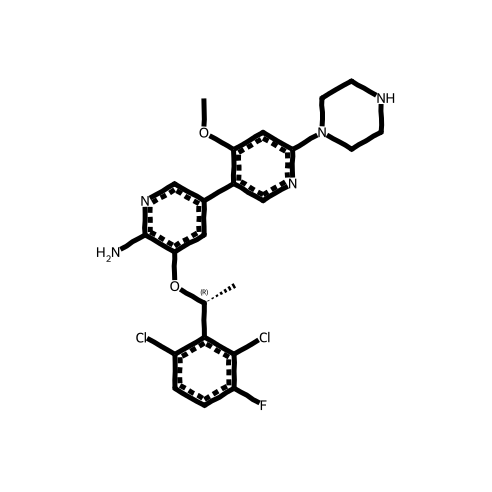 COc1cc(N2CCNCC2)ncc1-c1cnc(N)c(O[C@H](C)c2c(Cl)ccc(F)c2Cl)c1